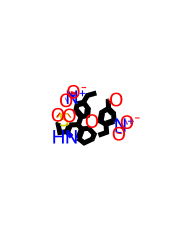 CCc1ccc(C2C3=C(CCCC3=O)NC3=C2S(=O)(=O)CC3)cc1[N+](=O)[O-].CCc1ccc(C=O)cc1[N+](=O)[O-]